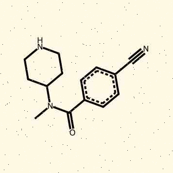 CN(C(=O)c1ccc(C#N)cc1)C1CCNCC1